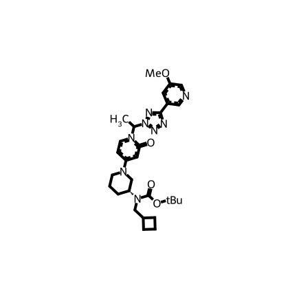 COc1cncc(-c2nnn(C(C)n3ccc(N4CCC[C@@H](N(CC5CCC5)C(=O)OC(C)(C)C)C4)cc3=O)n2)c1